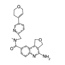 CN(Cc1ccc(C2=CCOCC2)cn1)C(=O)c1ccc2nc(N)c3c(c2c1)COC3